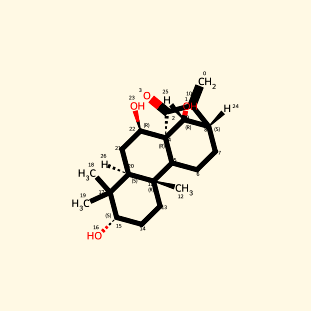 C=C1C(=O)[C@@]23C(CC[C@@H]1[C@H]2O)[C@]1(C)CC[C@H](O)C(C)(C)[C@H]1C[C@H]3O